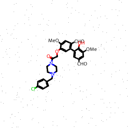 COc1cc(C=O)c(-c2cc(C=O)cc(OC)c2O)cc1OCC(=O)N1CCN(Cc2ccc(Cl)cc2)CC1